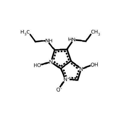 CCNc1c(NCC)n(O)c2c1n(O)c[n+]2[O-]